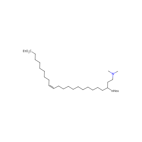 CCCCCCC(CCCCCCCCCC/C=C\CCCCCCCC(=O)OCC)CCN(C)C